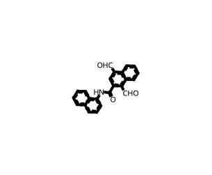 O=Cc1cc(C(=O)Nc2cccc3ccccc23)c(C=O)c2ccccc12